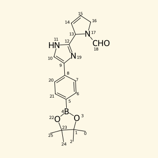 CC1(C)OB(c2ccc(-c3c[nH]c(C4C=CCN4C=O)n3)cc2)OC1(C)C